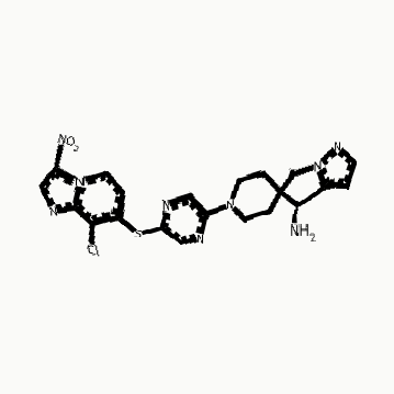 N[C@@H]1c2ccnn2CC12CCN(c1cnc(Sc3ccn4c([N+](=O)[O-])cnc4c3Cl)cn1)CC2